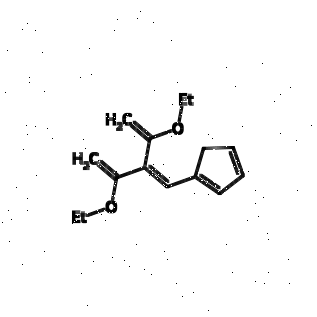 C=C(OCC)C(=CC1=CC=CC1)C(=C)OCC